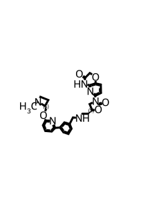 CN1CC[C@H]1COc1cccc(-c2cccc(CNCC[C@H]3CN(c4ccc5c(n4)NC(=O)CO5)C(=O)O3)c2)n1